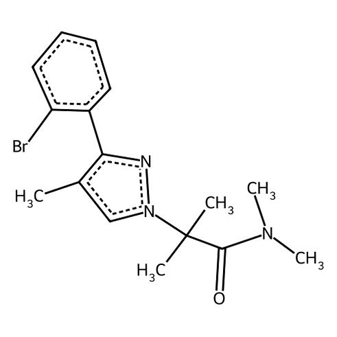 Cc1cn(C(C)(C)C(=O)N(C)C)nc1-c1ccccc1Br